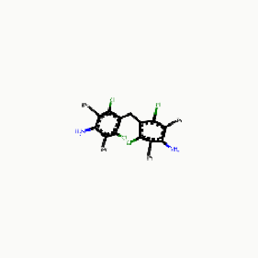 CC(C)c1c(N)c(C(C)C)c(Cl)c(Cc2c(Cl)c(C(C)C)c(N)c(C(C)C)c2Cl)c1Cl